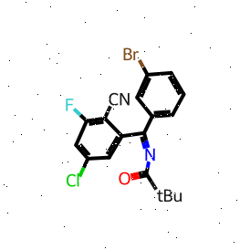 CC(C)(C)C(=O)N=C(c1cccc(Br)c1)c1cc(Cl)cc(F)c1C#N